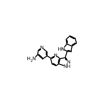 Nc1cncc(-c2ccc3[nH]nc(-c4cc5ccccc5[nH]4)c3n2)c1